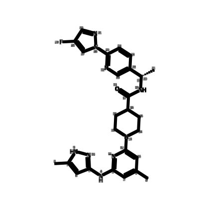 Cc1cc(Nc2cc(C)[nH]n2)nc(N2CCC(C(=O)N[C@@H](C)c3ccc(-n4cc(F)cn4)nc3)CC2)c1